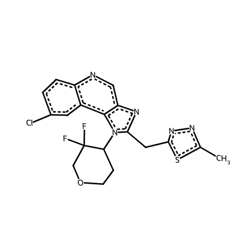 Cc1nnc(Cc2nc3cnc4ccc(Cl)cc4c3n2C2CCOCC2(F)F)s1